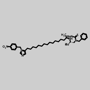 CC[C@H](C)[C@@H](CN(Cc1ccccc1)C(=S)NC)NC(C)CCCCCCCCCCCCCCc1cncn1Cc1ccc([N+](=O)[O-])cc1